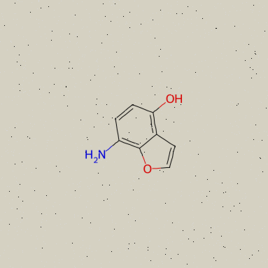 Nc1ccc(O)c2ccoc12